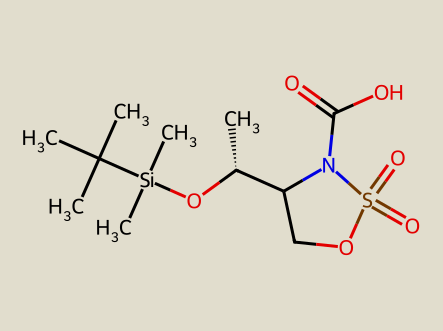 C[C@@H](O[Si](C)(C)C(C)(C)C)C1COS(=O)(=O)N1C(=O)O